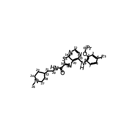 CC(C)Oc1cc(F)ccc1Nc1ncnc2sc(C(=O)NCCC3CCN(C)CC3)nc12